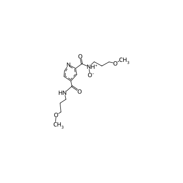 COCCCNC(=O)c1ccnc(C(=O)[NH+]([O-])CCCOC)c1